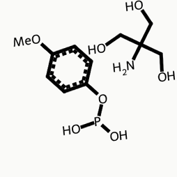 COc1ccc(OP(O)O)cc1.NC(CO)(CO)CO